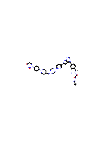 Cc1cc(-c2ncnc3[nH]c(-c4ccc(N5CCN(CC6CCN(c7ccc(N8CCC(=O)N(C)C8=O)cc7)CC6)CC5)nc4)cc23)ccc1[C@@H](C)NC(=O)c1nc(C(C)(C)C)no1